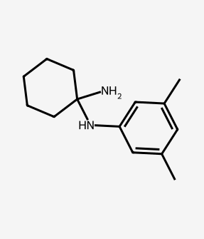 Cc1cc(C)cc(NC2(N)CCCCC2)c1